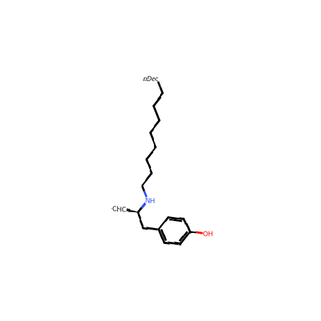 CCCCCCCCCCCCCCCCCCN[C@H]([C]=O)Cc1ccc(O)cc1